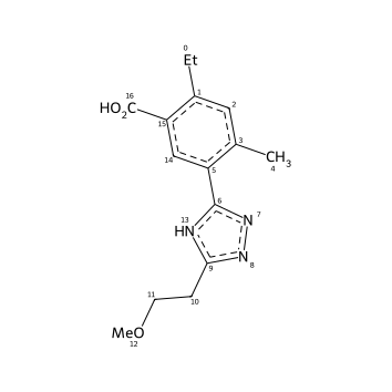 CCc1cc(C)c(-c2nnc(CCOC)[nH]2)cc1C(=O)O